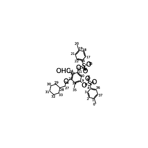 Cc1ccc(S(=O)(=O)Oc2cc(OS(=O)(=O)c3ccc(C)cc3)c(C=O)c(OCC3CCCCC3)c2C)cc1